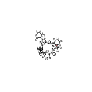 Cc1cccc(C)c1-c1cc2nc(n1)NS(=O)(=O)N1CCCC(C1)C(=O)N1Cc3ccccc3C(O2)C1CC(C)C